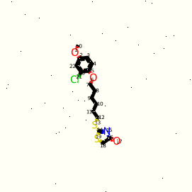 COc1ccc(OCCCCCCSC2=NC(=O)CS2)c(Cl)c1